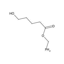 O=C(CCCCO)OCP